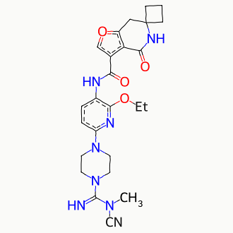 CCOc1nc(N2CCN(C(=N)N(C)C#N)CC2)ccc1NC(=O)c1coc2c1C(=O)NC1(CCC1)C2